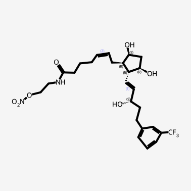 O=C(CCC/C=C\C[C@@H]1[C@@H](/C=C/[C@@H](O)CCc2cccc(C(F)(F)F)c2)[C@H](O)C[C@@H]1O)NCCO[N+](=O)[O-]